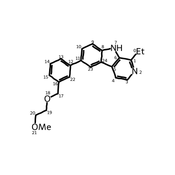 CCc1nccc2c1[nH]c1ccc(-c3cccc(COCCOC)c3)cc12